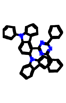 c1ccc(-c2nc(-c3ccccc3)nc(-c3c(-n4c5ccccc5c5ccccc54)ccc4c3c3ccccc3n4-c3ccccc3)n2)cc1